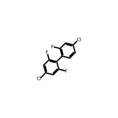 Fc1cc(Cl)ccc1-c1c(F)cc(Cl)cc1F